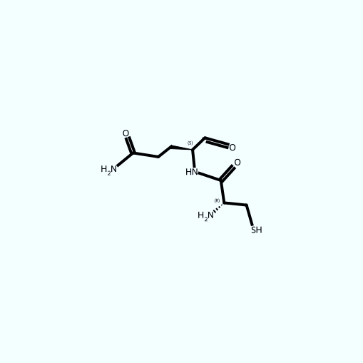 NC(=O)CC[C@@H]([C]=O)NC(=O)[C@@H](N)CS